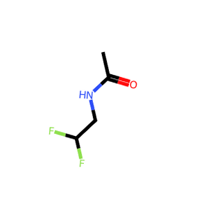 CC(=O)NCC(F)F